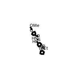 CCN(c1ccccc1)S(=O)(=O)c1ccc(NC(=S)NC(=O)c2ccc(OCCOC)cc2)cc1